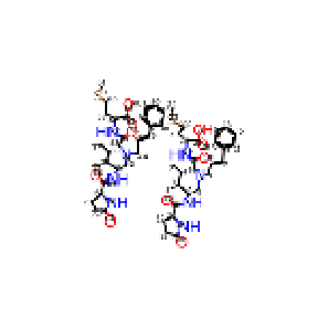 CC[C@H](C)[C@@H](CN(CC=Cc1ccccc1)CC(=O)N[C@@H](CCSC)C(=O)O)NC(=O)[C@@H]1CCC(=O)N1.CC[C@H](C)[C@@H](CN(CC=Cc1ccccc1)CC(=O)N[C@@H](CCSC)C(=O)OC)NC(=O)[C@@H]1CCC(=O)N1